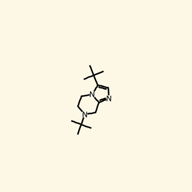 CC(C)(C)c1cnc2n1CCN(C(C)(C)C)C2